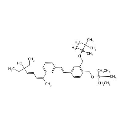 CCC(O)(/C=C/C=C(/C)c1cccc(C=Cc2ccc(CO[Si](C)(C)C(C)(C)C)c(CO[Si](C)(C)C(C)(C)C)c2)c1)CC